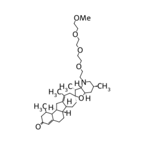 COCCOCCOCCOCCN1C[C@@H](C)C[C@H]2O[C@]3(CC[C@@H]4C(=C(C)C3)C[C@@H]3C5C(=CC(=O)C[C@H]5C)CC[C@@H]43)[C@H](C)[C@@H]21